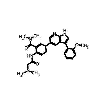 COc1ccccc1-c1c[nH]c2ncc(C3C=C(C(=O)N(C)C)C(NC(=O)CN(C)C)=CC3)cc12